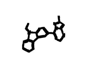 CCn1c2ccccc2c2cc(-c3ccnc4cc(C)nn34)ccc21